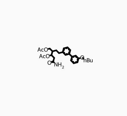 CCCCOc1cccc(-c2cccc(CCC(COC(C)=O)C(CC(N)=O)OC(C)=O)c2)c1